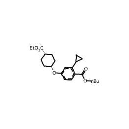 CCCCOC(=O)c1ccc(O[C@H]2CC[C@@H](C(=O)OCC)CC2)cc1C1CC1